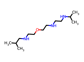 CC(C)CNCCOCCNCCNC(C)C